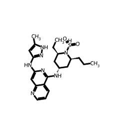 CCC[C@H]1C[C@H](Nc2nc(Nc3cc(C)[nH]n3)cc3ncccc23)C[C@@H](CC)N1[SH](=O)=O